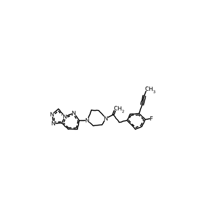 C=C(Cc1ccc(F)c(C#CC)c1)N1CCN(c2ccc3nncn3n2)CC1